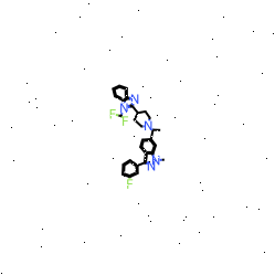 CC(c1ccc2c(-c3cccc(F)c3)nn(C)c2c1)N1CCC(c2nc3ccccc3n2C(F)F)CC1